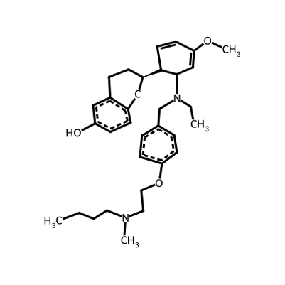 CCCCN(C)CCOc1ccc(CN(CC)C2C=C(OC)C=CC2[C@@H]2CCc3cc(O)ccc3C2)cc1